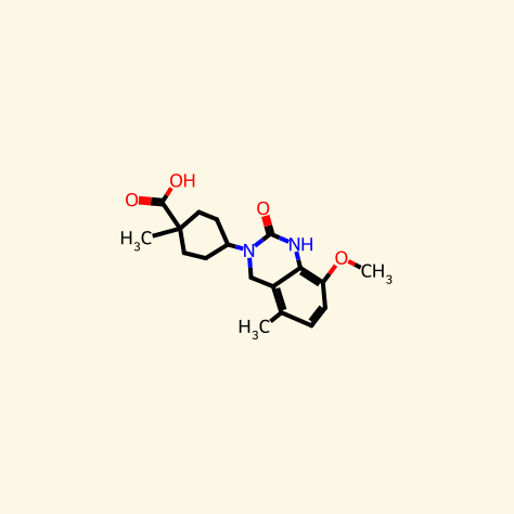 COc1ccc(C)c2c1NC(=O)N(C1CCC(C)(C(=O)O)CC1)C2